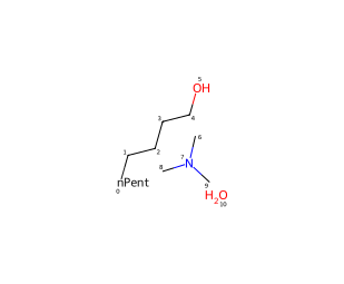 CCCCCCCCCO.CN(C)C.O